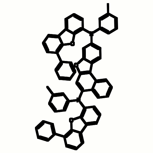 Cc1cccc(N(c2ccc3c(c2)oc2cc(N(c4cccc(C)c4)c4cccc5c4oc4c(-c6ccccc6)cccc45)c4ccccc4c23)c2cccc3c2oc2c(-c4ccccc4)cccc23)c1